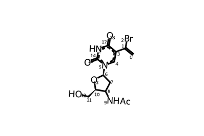 C=C(Br)c1cn([C@H]2CC(NC(C)=O)[C@@H](CO)O2)c(=O)[nH]c1=O